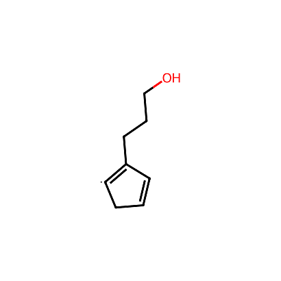 OCCCC1=[C]CC=C1